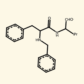 CC(C)C([C]=O)NC(=O)C(Cc1ccccc1)NCc1ccccc1